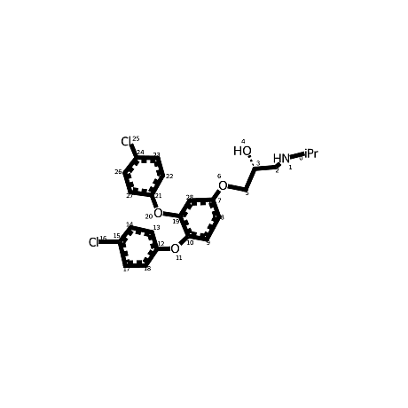 CC(C)NC[C@@H](O)COc1ccc(Oc2ccc(Cl)cc2)c(Oc2ccc(Cl)cc2)c1